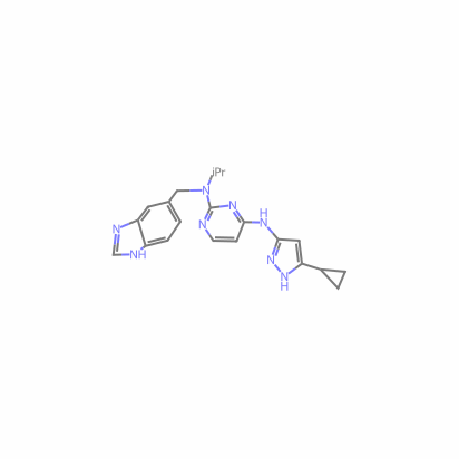 CC(C)N(Cc1ccc2[nH]cnc2c1)c1nccc(Nc2cc(C3CC3)[nH]n2)n1